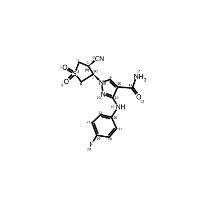 N#C[C@@H]1CS(=O)(=O)C[C@@H]1n1cc(C(N)=O)c(Nc2ccc(F)cc2)n1